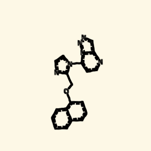 c1ccc2c(OCc3nccn3-c3ccnc4cnnn34)cccc2c1